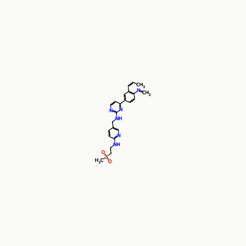 C=Nc1ccc(-c2ccnc(NCc3ccc(NCCS(C)(=O)=O)nc3)n2)cc1/C=C\C